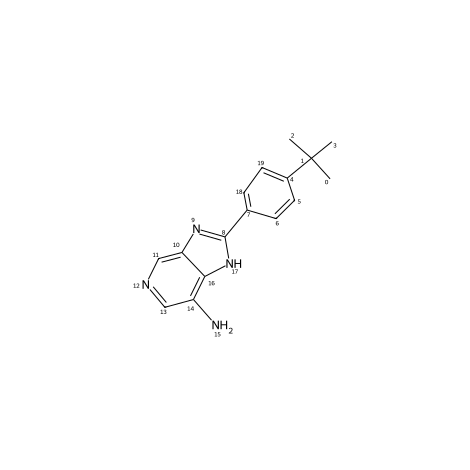 CC(C)(C)c1ccc(-c2nc3cncc(N)c3[nH]2)cc1